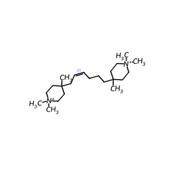 CC1(C/C=C\CCCC2(C)CC[N+](C)(C)CC2)CC[N+](C)(C)CC1